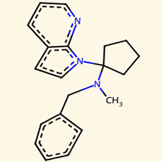 CN(Cc1ccccc1)C1(n2ccc3cccnc32)CCCC1